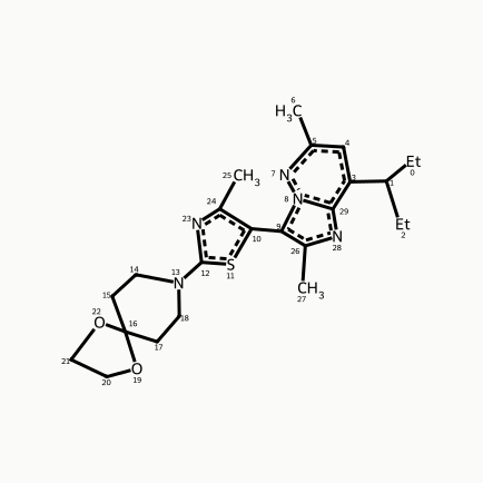 CCC(CC)c1cc(C)nn2c(-c3sc(N4CCC5(CC4)OCCO5)nc3C)c(C)nc12